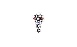 c1ccc(-c2ccc(-n3c4ccc5oc6ccccc6c5c4c4c5c(ccc43)oc3ccccc35)cc2)cc1